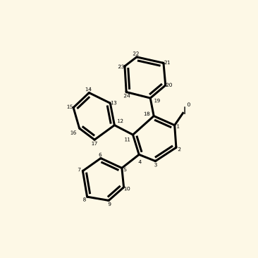 Ic1ccc(-c2ccccc2)c(-c2ccccc2)c1-c1ccccc1